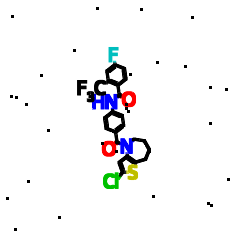 O=C(Nc1ccc(C(=O)N2CCCCc3sc(Cl)cc32)cc1)c1ccc(F)cc1C(F)(F)F